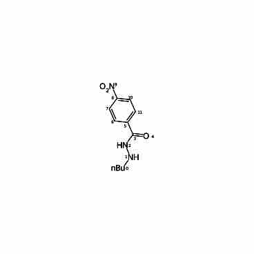 CCCCNNC(=O)c1ccc([N+](=O)[O-])cc1